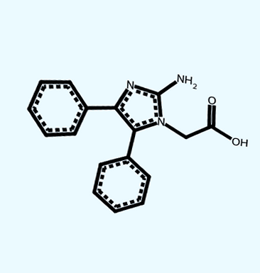 Nc1nc(-c2ccccc2)c(-c2ccccc2)n1CC(=O)O